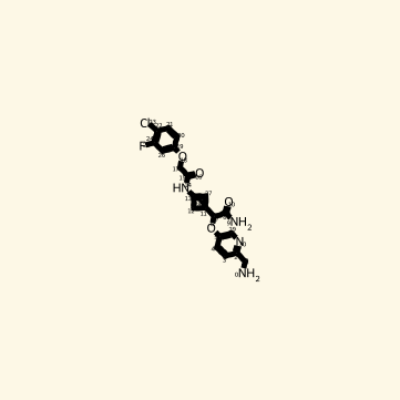 NCc1ccc(OC(C(N)=O)C23CC(NC(=O)COc4ccc(Cl)c(F)c4)(C2)C3)cn1